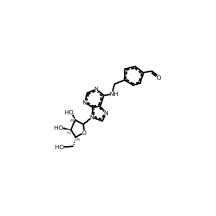 O=Cc1ccc(CNc2ncnc3c2ncn3C2O[C@H](CO)[C@@H](O)[C@H]2O)cc1